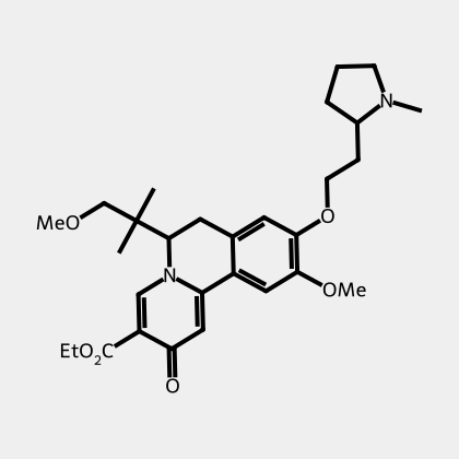 CCOC(=O)c1cn2c(cc1=O)-c1cc(OC)c(OCCC3CCCN3C)cc1CC2C(C)(C)COC